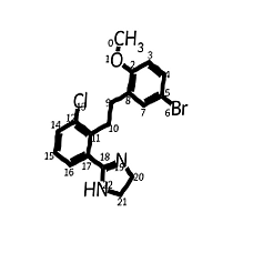 COc1ccc(Br)cc1CCc1c(Cl)cccc1C1=NCCN1